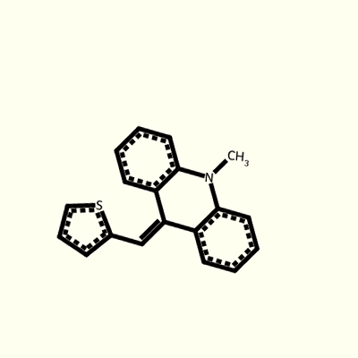 CN1c2ccccc2C(=Cc2cccs2)c2ccccc21